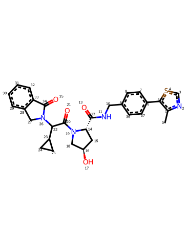 Cc1ncsc1-c1ccc(CNC(=O)[C@@H]2C[C@@H](O)CN2C(=O)C(C2CC2)N2Cc3ccccc3C2=O)cc1